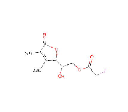 CC(=O)OC1=C(OC(C)=O)C(C(O)COC(=O)CI)OC1=O